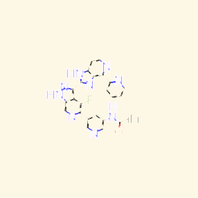 CC(C)C(=O)Nc1cncc(-c2ncc3[nH]nc(-c4nc5c(-c6ccccn6)nccc5[nH]4)c3c2F)c1